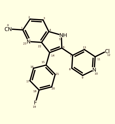 [C-]#[N+]c1ccc2[nH]c(-c3ccnc(Cl)c3)c(-c3ccc(F)cc3)c2n1